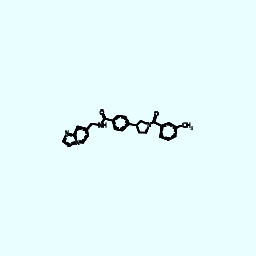 Cc1cccc(C(=O)N2CCC(c3ccc(C(=O)NCc4ccn5ccnc5c4)cc3)C2)c1